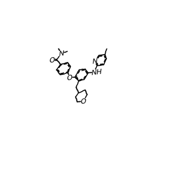 Cc1ccc(Nc2ccc(Oc3ccc(C(=O)N(C)C)cc3)c(CC3CCOCC3)c2)nc1